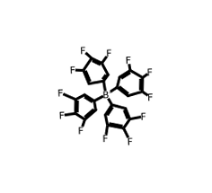 Fc1cc([B-](c2cc(F)c(F)c(F)c2)(c2cc(F)c(F)c(F)c2)c2cc(F)c(F)c(F)c2)cc(F)c1F